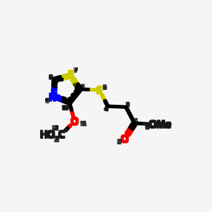 COC(=O)CCSc1scnc1OC(=O)O